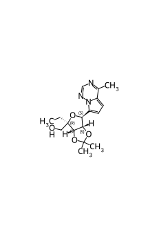 CC[C@]1(CO)O[C@@H](c2ccc3c(C)ncnn23)[C@@H]2OC(C)(C)O[C@@H]21